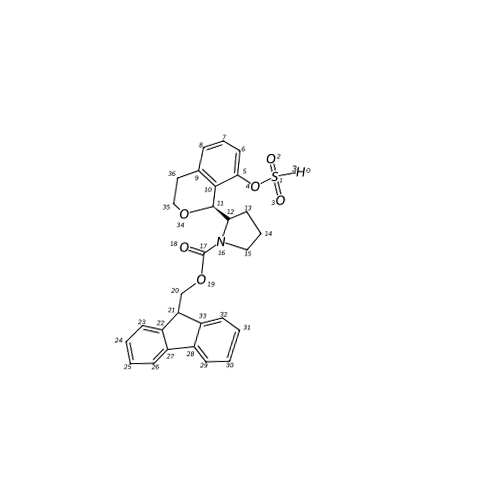 [3H]S(=O)(=O)Oc1cccc2c1[C@@H](C1CCCN1C(=O)OCC1c3ccccc3-c3ccccc31)OCC2